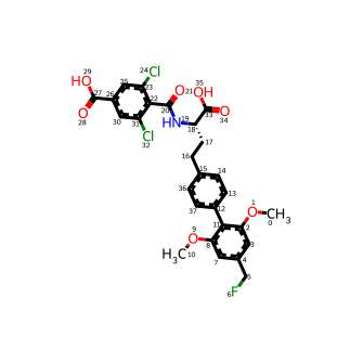 COc1cc(CF)cc(OC)c1-c1ccc(CC[C@H](NC(=O)c2c(Cl)cc(C(=O)O)cc2Cl)C(=O)O)cc1